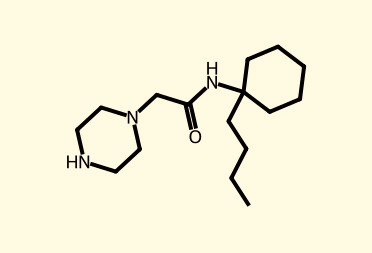 CCCCC1(NC(=O)CN2CCNCC2)CCCCC1